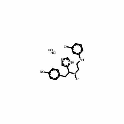 CC(=O)N(CCNc1cccc(Cl)c1)C(Cc1ccc(C#N)cc1)c1cnc[nH]1.Cl.Cl